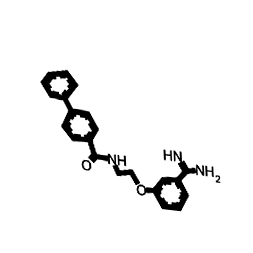 N=C(N)c1cccc(OCCNC(=O)c2ccc(-c3ccccc3)cc2)c1